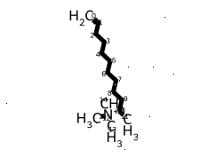 C=CCCCCCCCCC(C)[N+](C)(C)C